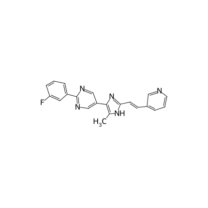 Cc1[nH]c(/C=C/c2cccnc2)nc1-c1cnc(-c2cccc(F)c2)nc1